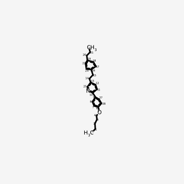 CCCCCOc1ccc(-c2ccc(CCc3ccc(CCC)cc3)cn2)cc1